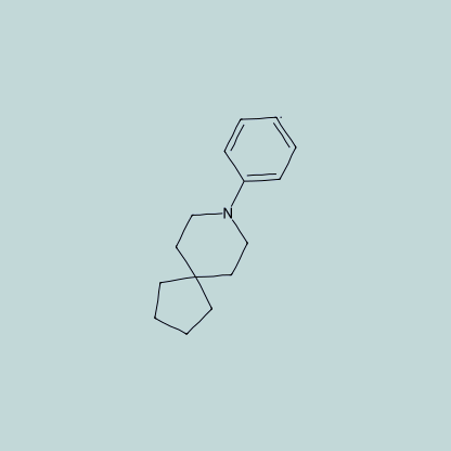 [c]1ccc(N2CCC3(CCCC3)CC2)cc1